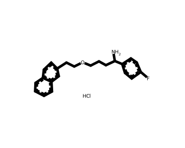 Cl.NC(CCCOCCc1ccc2ccccc2c1)c1ccc(F)cc1